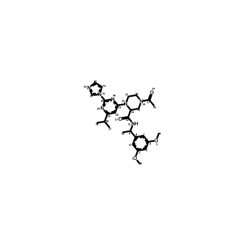 COc1cc(OC)cc(C(C)NC(=O)C2CN(C(C)=O)CCN2c2cc(C(C)C)nc(-n3ccnc3)n2)c1